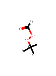 CCC(=O)OOC(C)(C)C